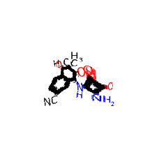 CC1(C)C(=O)c2ccc(C#N)cc2[C@H](Nc2c(N)c(=O)c2=O)[C@H]1O